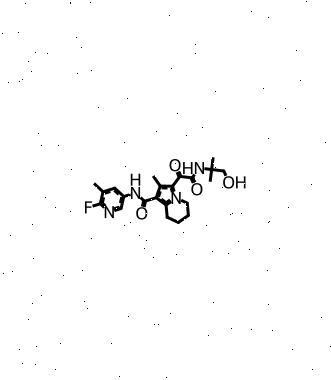 Cc1cc(NC(=O)c2c(C)c(C(=O)C(=O)NC(C)(C)CO)n3c2CCCC3)cnc1F